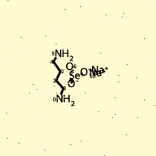 NCCCCN.O=[Se]([O-])[O-].[Na+].[Na+]